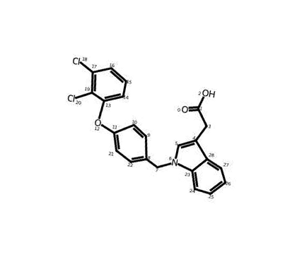 O=C(O)Cc1cn(Cc2ccc(Oc3cccc(Cl)c3Cl)cc2)c2ccccc12